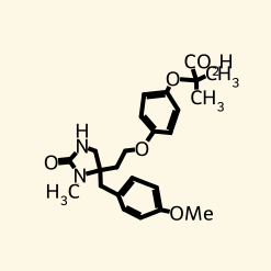 COc1ccc(CC2(CCOc3ccc(OC(C)(C)C(=O)O)cc3)CNC(=O)N2C)cc1